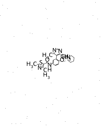 Cc1nc(C)c(C(=O)Nc2ccc(OC[C@H]3CCCCN3)c(-c3c(C)ncnc3C)c2)s1